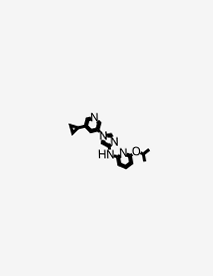 CC(C)Oc1cccc(Nc2cn(-c3cncc(C4CC4)c3)cn2)n1